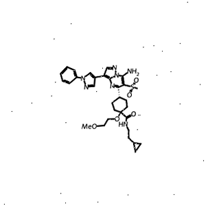 COCCO[C@]1(C(=O)NCCC2CC2)CC[C@@H](c2nc3c(-c4cnn(-c5ccccc5)c4)cnn3c(N)c2S(C)(=O)=O)CC1